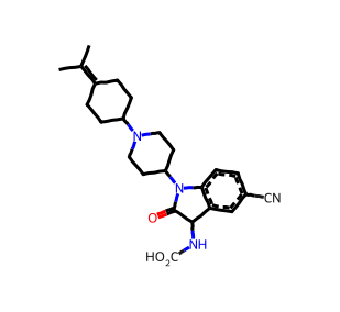 CC(C)=C1CCC(N2CCC(N3C(=O)C(NC(=O)O)c4cc(C#N)ccc43)CC2)CC1